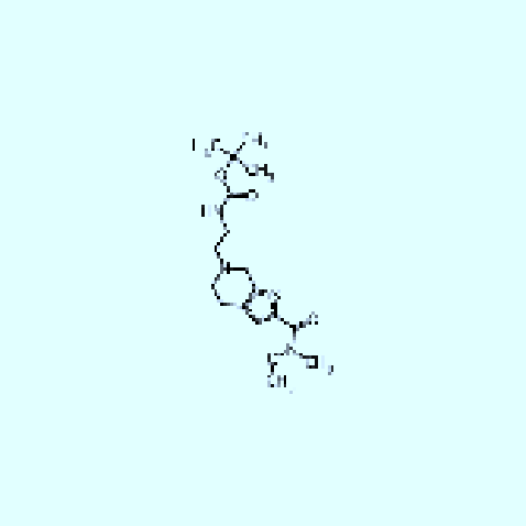 CON(C)C(=O)c1cc2c(s1)CN(CCNC(=O)OC(C)(C)C)CC2